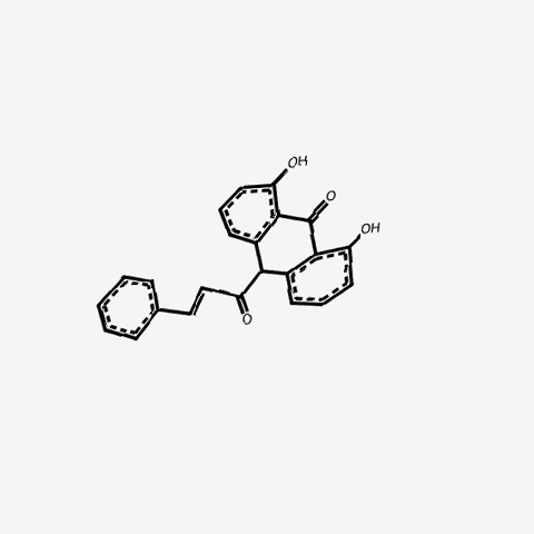 O=C1c2c(O)cccc2C(C(=O)/C=C/c2ccccc2)c2cccc(O)c21